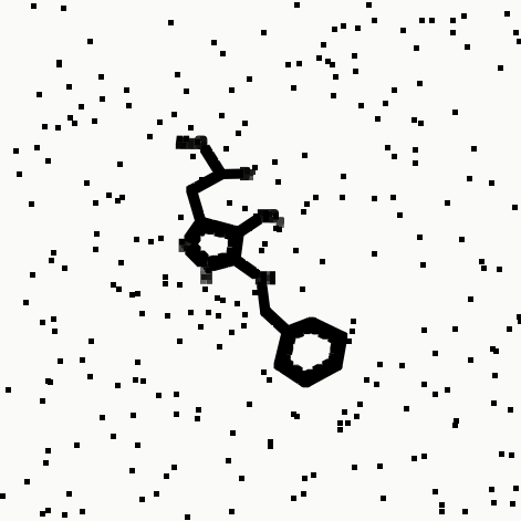 COC(Br)Cc1n[nH]c(NCc2ccccc2)c1[N+](=O)[O-]